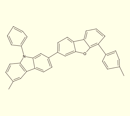 Cc1ccc(-c2cccc3c2oc2cc(-c4ccc5c6cc(C)ccc6n(-c6ccccc6)c5c4)ccc23)cc1